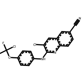 N#Cc1ccc2nc(Nc3ccc(OC(F)(F)Cl)cc3)c(Cl)cc2c1